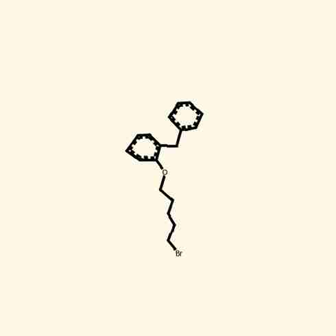 BrCCCCCOc1ccccc1Cc1ccccc1